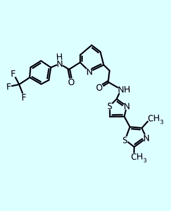 Cc1nc(C)c(-c2csc(NC(=O)Cc3cccc(C(=O)Nc4ccc(C(F)(F)F)cc4)n3)n2)s1